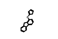 [B](C1=CC=CC1)c1cccc2c1Cc1ccccc1-2